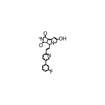 CN1C(=O)C2=C3C=C(O)CN3C(C=Cc3ccc(-c4cccc(F)c4)cn3)C2C1=O